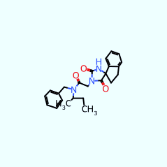 CCC(C)N(Cc1ccccc1)C(=O)CN1C(=O)NC2(CCc3ccccc32)C1=O